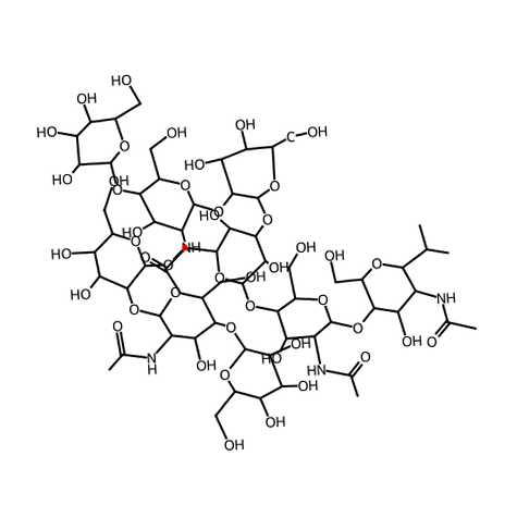 CC(=O)NC1C(OC2C(OCC3OC(OC4C(CO)OC(OC5C(CO)OC(C(C)C)C(NC(C)=O)C5O)C(NC(C)=O)C4O)C(O)C(OC4OC(CO)C(O)C(O)C4OC4OC(CO)C(OC5OC(CO)C(O)C(O)C5O)C(O)C4NC(C)=O)C3O)OC(CO)C(O)C2O)OC(CO)C(OC2OC(CO)C(O)C(O)C2O)C1O